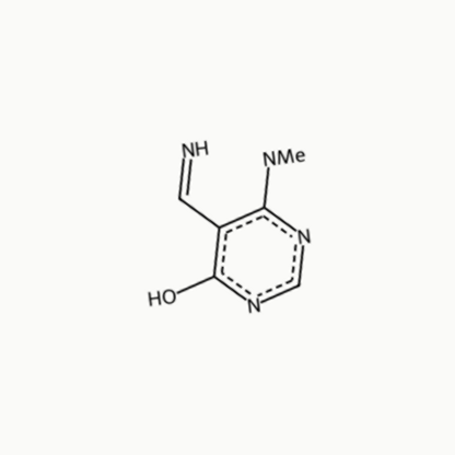 CNc1ncnc(O)c1C=N